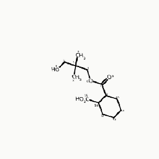 CC(C)(CO)COC(=O)C1CCCCC1C(=O)O